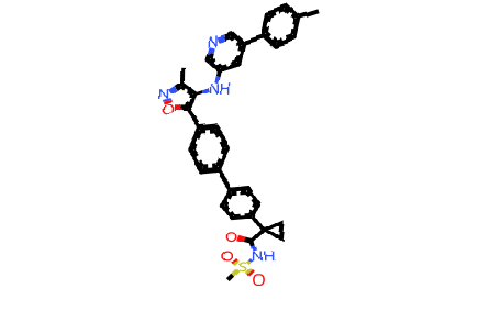 Cc1ccc(-c2cncc(Nc3c(C)noc3-c3ccc(-c4ccc(C5(C(=O)NS(C)(=O)=O)CC5)cc4)cc3)c2)cc1